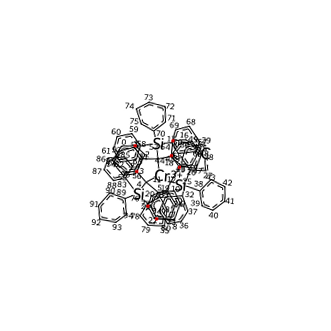 c1ccc([C](c2ccccc2)([Cr+3]([C](c2ccccc2)(c2ccccc2)[Si](c2ccccc2)(c2ccccc2)c2ccccc2)[C](c2ccccc2)(c2ccccc2)[Si](c2ccccc2)(c2ccccc2)c2ccccc2)[Si](c2ccccc2)(c2ccccc2)c2ccccc2)cc1